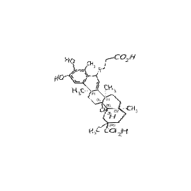 Cc1c(O)c(O)cc2c1C(SCCC(=O)O)C=C1[C@@]2(C)CC[C@@]2(C)[C@@H]3C[C@](C)(C(=O)O)CC[C@]3(C)CC[C@]12C